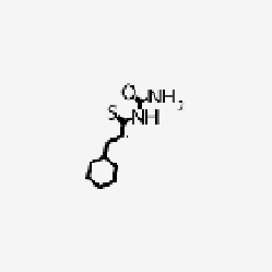 NC(=O)NC(=S)[CH]CC1CCCCC1